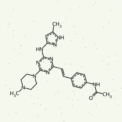 CC(=O)Nc1ccc(/C=C/c2nc(Nc3cc(C)[nH]n3)nc(N3CCN(C)CC3)n2)cc1